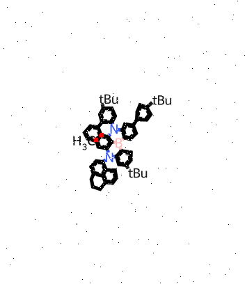 Cc1cc2c3c(c1)N(c1ccc4c5c(cccc15)CCC4)c1cc(C(C)(C)C)ccc1B3c1ccc(-c3ccc(C(C)(C)C)cc3)cc1N2c1ccc(C(C)(C)C)cc1-c1ccccc1